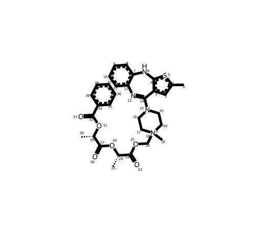 Cc1cc2c(s1)Nc1ccccc1N=C2N1CC[N+](C)(COC(=O)[C@H](C)OC(=O)[C@H](C)OC(=O)c2ccccc2)CC1